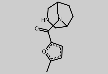 Cc1ccc(C(=O)N2CC3CCC2CNC3)o1